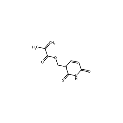 C=C(C)C(=O)OCn1ccc(=O)[nH]c1=S